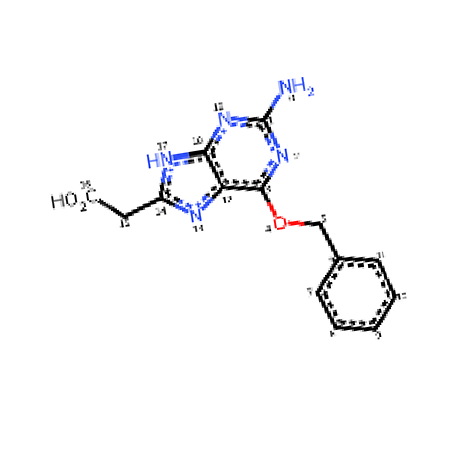 Nc1nc(OCc2ccccc2)c2nc(CC(=O)O)[nH]c2n1